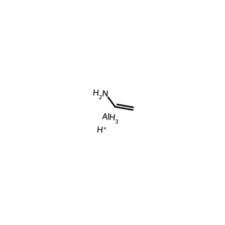 C=CN.[AlH3].[H+]